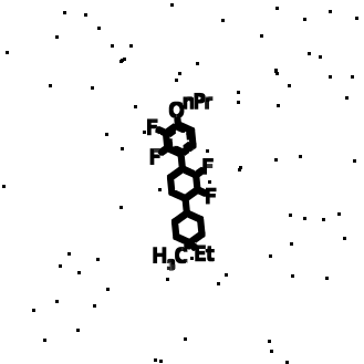 CCCOc1ccc(C2CCC(C3CCC(C)(CC)CC3)C(F)C2F)c(F)c1F